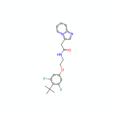 CC(C)(C)c1c(F)cc(OCCNC(=O)Cc2cnc3ccccn23)cc1F